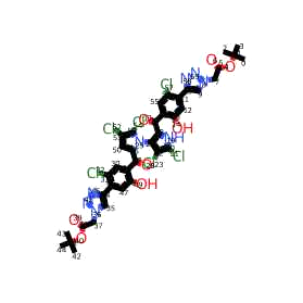 CC(C)(C)OC(=O)Cn1cc(-c2cc(O)c(C(=O)c3[nH]c(Cl)c(Cl)c3-n3c(C(=O)c4cc(Cl)c(-c5cn(CC(=O)OC(C)(C)C)nn5)cc4O)cc(Cl)c3Cl)cc2Cl)nn1